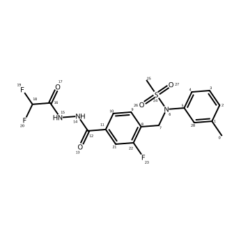 Cc1cccc(N(Cc2ccc(C(=O)NNC(=O)C(F)F)cc2F)S(C)(=O)=O)c1